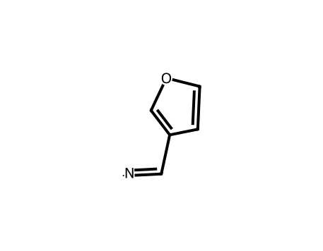 [N]=Cc1ccoc1